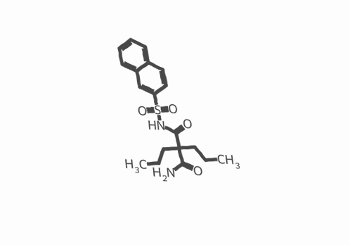 CCCC(CCC)(C(N)=O)C(=O)NS(=O)(=O)c1ccc2ccccc2c1